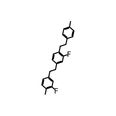 Cc1ccc(CCc2ccc(CCc3ccc(C)c(F)c3)cc2F)cc1